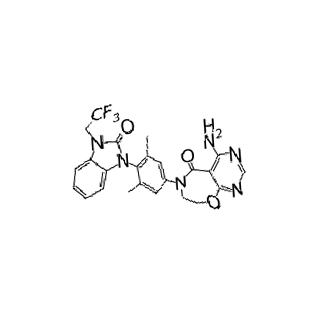 Cc1cc(N2CCOc3ncnc(N)c3C2=O)cc(C)c1-n1c(=O)n(CC(F)(F)F)c2ccccc21